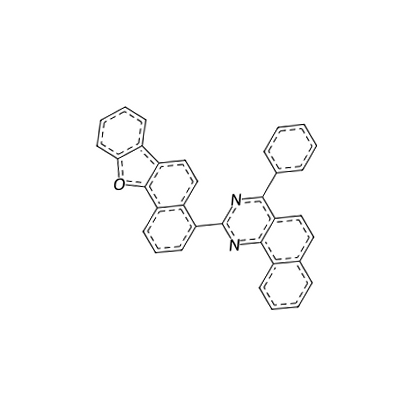 c1ccc(-c2nc(-c3cccc4c3ccc3c5ccccc5oc43)nc3c2ccc2ccccc23)cc1